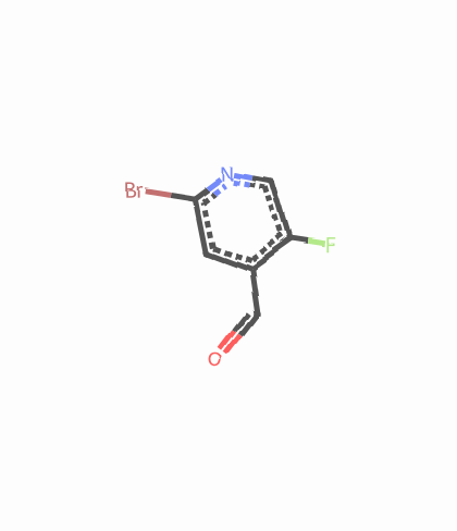 O=Cc1cc(Br)ncc1F